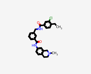 CCc1ccc(C(=O)NCc2cccc(C(=O)Nc3ccc4c(c3)CN(C)CC4)c2)cc1Cl